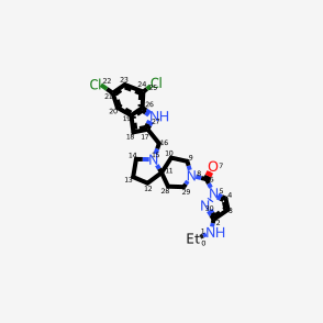 CCNc1ccn(C(=O)N2CCC3(CCCN3Cc3cc4cc(Cl)cc(Cl)c4[nH]3)CC2)n1